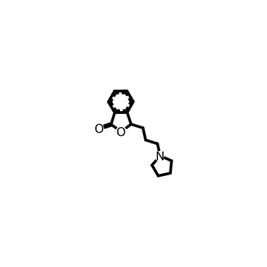 O=C1OC(CCCN2CCCC2)c2ccccc21